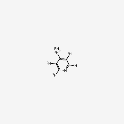 B.[2H]c1nc([2H])c([2H])c([2H])c1[2H]